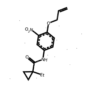 C=CCOc1ccc(NC(=O)C2(CC)CC2)cc1[N+](=O)[O-]